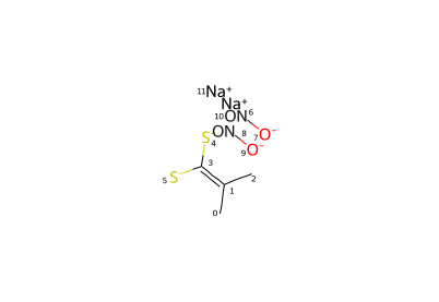 CC(C)=C([S-])[S-].O=[NH+][O-].O=[NH+][O-].[Na+].[Na+]